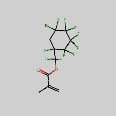 C=C(C)C(=O)OC(F)(F)C1(F)CC(F)(F)C(F)(F)C(F)(F)C1(F)F